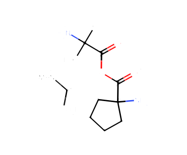 CC(C)(N)C(=O)OC(=O)C1(N)CCCC1.CNCC(=O)O